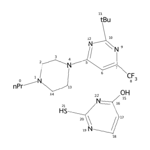 CCCN1CCN(c2cc(C(F)(F)F)nc(C(C)(C)C)n2)CC1.Oc1ccnc(S)n1